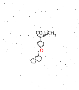 CC#C[C@@H](CC(=O)O)c1ccc(OCC2=CC3(CCCC3)CCC2)cc1